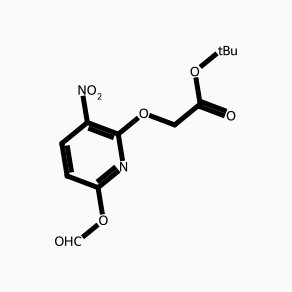 CC(C)(C)OC(=O)COc1nc(OC=O)ccc1[N+](=O)[O-]